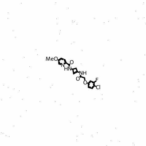 COc1ccc(C(=O)NC2C=C(NC(=O)COc3ccc(Cl)c(F)c3)C2)nc1